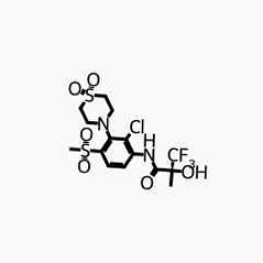 C[C@@](O)(C(=O)Nc1ccc(S(C)(=O)=O)c(N2CCS(=O)(=O)CC2)c1Cl)C(F)(F)F